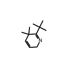 CC(C)(C)C1=NCC=CC1(C)C